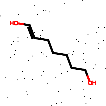 O/C=C/CCCCCO